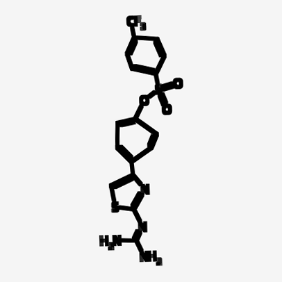 NC(N)=Nc1nc(-c2ccc(OS(=O)(=O)c3ccc(C(F)(F)F)cc3)cc2)cs1